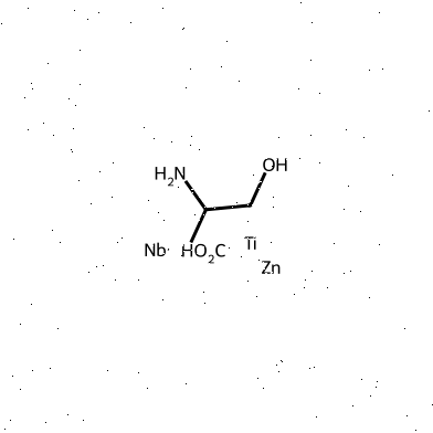 NC(CO)C(=O)O.[Nb].[Ti].[Zn]